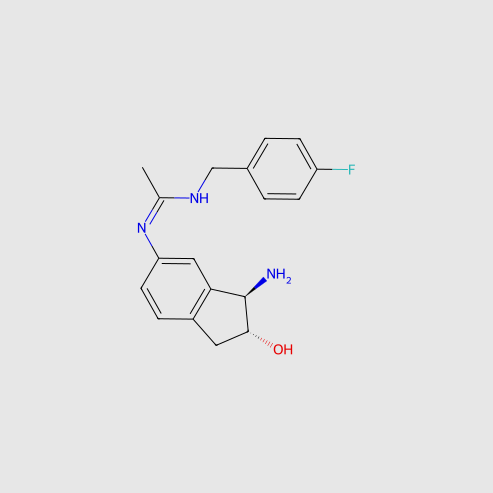 CC(=Nc1ccc2c(c1)[C@@H](N)[C@H](O)C2)NCc1ccc(F)cc1